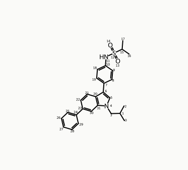 CC(C)Cn1cc(-c2ccc(NS(=O)(=O)C(C)C)cc2)c2ccc(-c3ccccc3)cc21